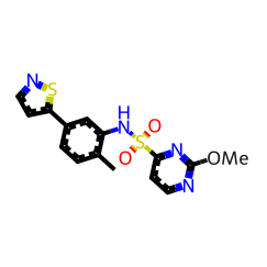 COc1nccc(S(=O)(=O)Nc2cc(-c3ccns3)ccc2C)n1